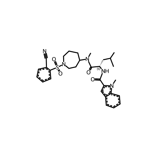 CC(C)C[C@H](NC(=O)c1cc2ccccc2n1C)C(=O)N(C)C1CCCN(S(=O)(=O)c2ccccc2C#N)CC1